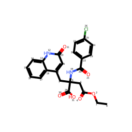 CCOC(=O)CC(Cc1cc(=O)[nH]c2ccccc12)(NC(=O)c1ccc(Cl)cc1)C(=O)O